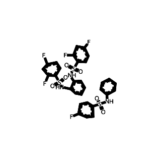 O=S(=O)(Nc1ccccc1)c1ccc(F)cc1.O=S(=O)(Nc1ccccc1NS(=O)(=O)c1ccc(F)cc1F)c1ccc(F)cc1F